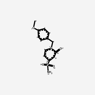 COc1ccc(Cn2ccc(S(N)(=O)=O)cc2=O)cc1